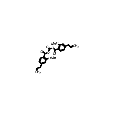 C=CCc1ccc(C(Cl)OC(=O)OC(Cl)c2ccc(CC=C)cc2OC)c(OC)c1